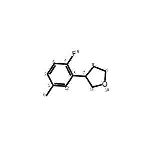 Cc1ccc(F)c(C2CCOC2)c1